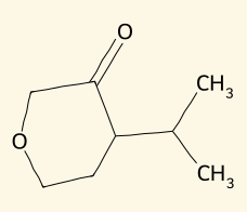 CC(C)C1CCOCC1=O